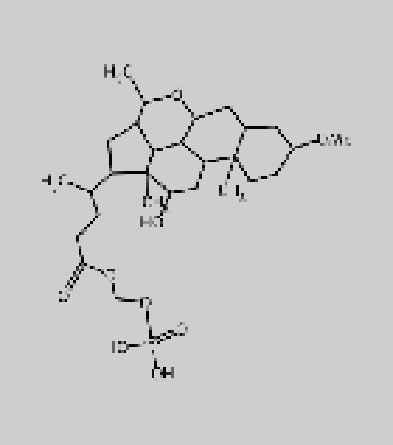 COC1CCC2(C)C(C1)CC1OC(C)C3CC(C(C)CCC(=O)OCOP(=O)(O)O)C4(C)C(O)CC2C1C34